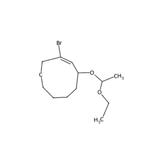 CCOC(C)OC1/C=C(/Br)CCCCCC1